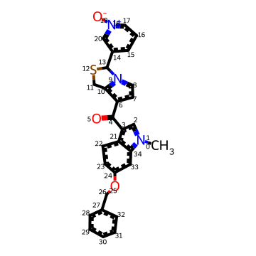 Cn1cc(C(=O)c2ccn3c2CSC3c2ccc[n+]([O-])c2)c2ccc(OCc3ccccc3)cc21